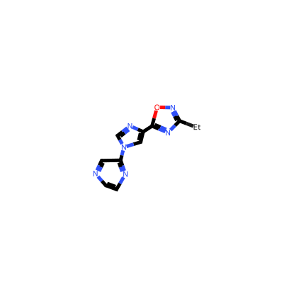 CCc1noc(-c2cn(-c3cnccn3)cn2)n1